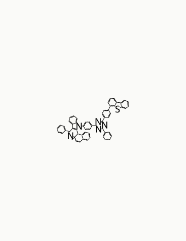 CC12C=Cc3ccccc3C1c1c(c3ccccc3n1-c1ccc(-c3nc(-c4ccccc4)nc(-c4ccc(-c5cccc6c5sc5ccccc56)cc4)n3)cc1)C(c1ccccc1)=N2